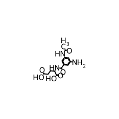 CC(=O)Nc1cc(N)cc(C(=O)NC(CCC(=O)O)C(=O)O)c1